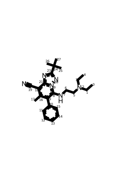 CCN(CC)CCNc1c(-c2ccccc2)c(C)c(C#N)c2nc(C(C)(C)C)nn12